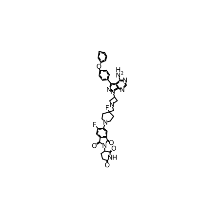 Nc1ncnc2c1c(-c1ccc(Oc3ccccc3)cc1)nn2C1CN(CC2(F)CCN(c3cc4c(cc3F)C(=O)N(C3CCC(=O)NC3=O)C4=O)CC2)C1